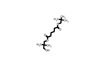 CC(C)(C)COC(=O)CCCCC(=O)OCC(C)(C)CO